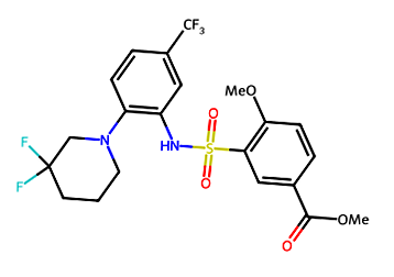 COC(=O)c1ccc(OC)c(S(=O)(=O)Nc2cc(C(F)(F)F)ccc2N2CCCC(F)(F)C2)c1